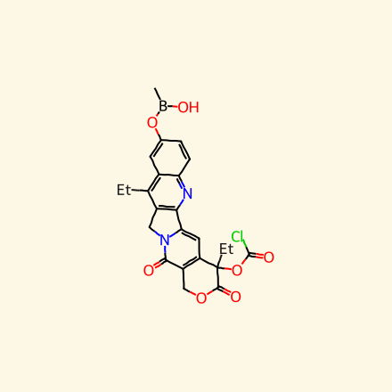 CCc1c2c(nc3ccc(OB(C)O)cc13)-c1cc3c(c(=O)n1C2)COC(=O)C3(CC)OC(=O)Cl